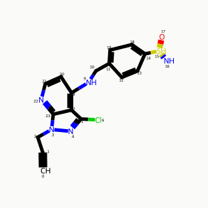 C#CCn1nc(Cl)c2c(NCc3ccc([SH](=N)=O)cc3)ccnc21